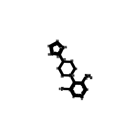 Nc1cncc(F)c1N1CCC(c2nccs2)CC1